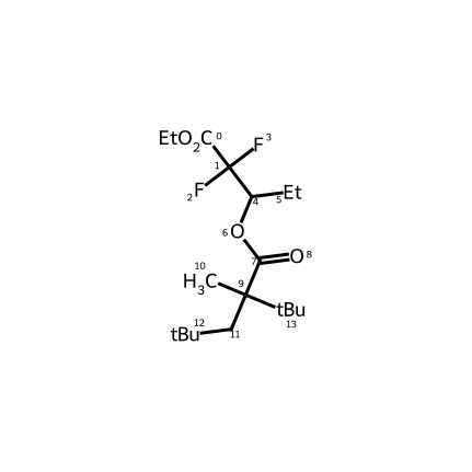 CCOC(=O)C(F)(F)C(CC)OC(=O)C(C)(CC(C)(C)C)C(C)(C)C